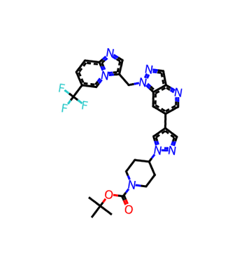 CC(C)(C)OC(=O)N1CCC(n2cc(-c3cnc4cnn(Cc5cnc6ccc(C(F)(F)F)cn56)c4c3)cn2)CC1